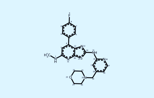 CNc1cc(-c2ccc(F)cc2)c2nc(Nc3cc(CN4CCOCC4)ccn3)sc2n1